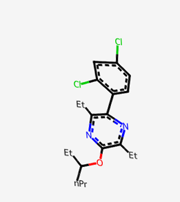 CCCC(CC)Oc1nc(CC)c(-c2ccc(Cl)cc2Cl)nc1CC